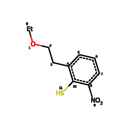 CCOCCc1cccc([N+](=O)[O-])c1S